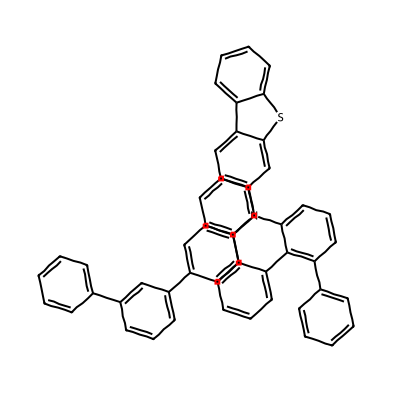 c1ccc(-c2cccc(-c3ccc(N(c4ccc5c(c4)sc4ccccc45)c4cccc(-c5ccccc5)c4-c4ccccc4-c4ccccc4)cc3)c2)cc1